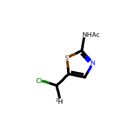 [2H]C(Cl)c1cnc(NC(C)=O)s1